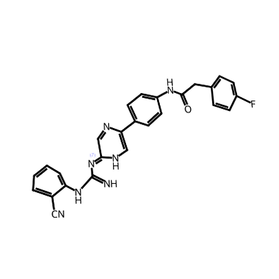 N#Cc1ccccc1NC(=N)/N=c1/cnc(-c2ccc(NC(=O)Cc3ccc(F)cc3)cc2)c[nH]1